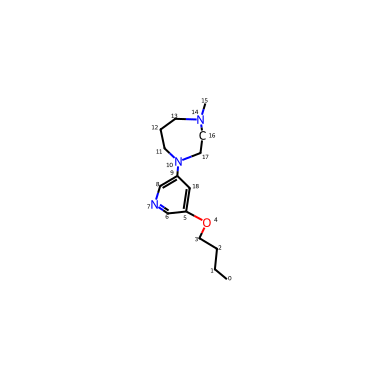 CCCCOc1cncc(N2CCCN(C)CC2)c1